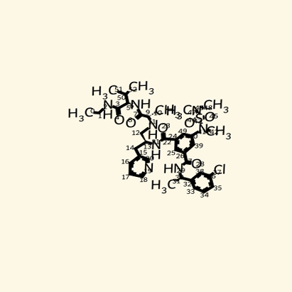 CCNC(=O)[C@@H](NC(=O)[C@H](C)NC[C@H](Cc1cccnc1)NC(=O)c1cc(C(=O)N[C@H](C)c2cccc(Cl)c2)cc(N(C)S(=O)(=O)N(C)C)c1)C(C)C